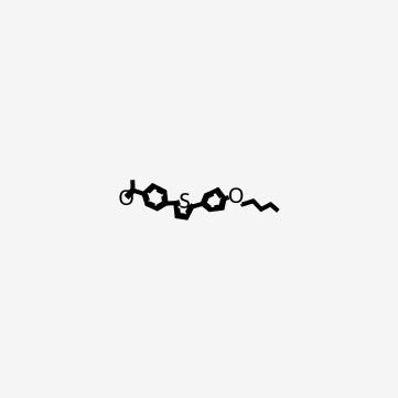 CCCCCOc1ccc(-c2ccc(-c3ccc(C(C)=O)cc3)s2)cc1